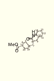 COC(=O)c1ccc(Cc2cc3ccccc3[nH]c2=O)cc1